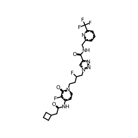 O=C(CC1CCC1)Nc1ccn(CCC(F)Cn2cc(C(=O)NCc3cccc(C(F)(F)F)n3)nn2)c(=O)c1F